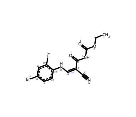 CCOC(=O)NC(=O)/C(C#N)=C\Nc1ccc(Br)cc1F